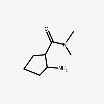 CN(C)C(=O)C1CCCC1N